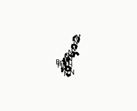 C=Cc1cc(Nc2ncc(Br)c(Nc3ccc4nccnc4c3P(C)C)n2)c(OC)nc1N1CCC(N2CCCN(C)CC2)CC1